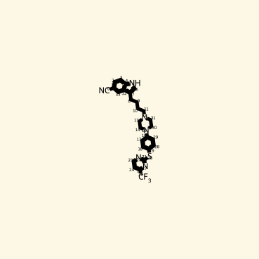 N#Cc1ccc2[nH]cc(CCCCN3CCN(c4ccc(Sc5nccc(C(F)(F)F)n5)cc4)CC3)c2c1